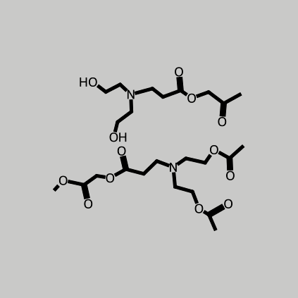 CC(=O)COC(=O)CCN(CCO)CCO.COC(=O)COC(=O)CCN(CCOC(C)=O)CCOC(C)=O